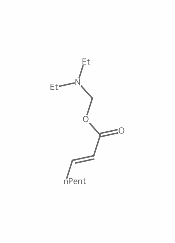 CCCCCC=CC(=O)OCN(CC)CC